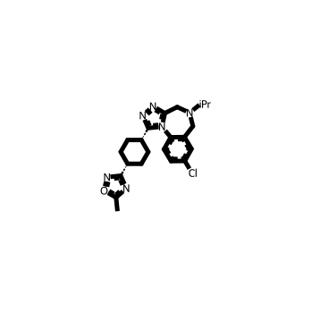 Cc1nc([C@H]2CC[C@@H](c3nnc4n3-c3ccc(Cl)cc3CN(C(C)C)C4)CC2)no1